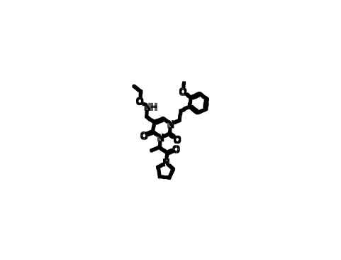 CCONCc1cn(CCc2ccccc2OC)c(=O)n(C(C)C(=O)N2CCCC2)c1=O